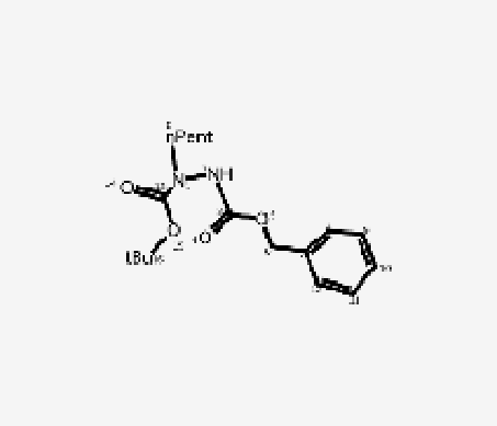 CCCCCN(NC(=O)OCc1ccccc1)C(=O)OC(C)(C)C